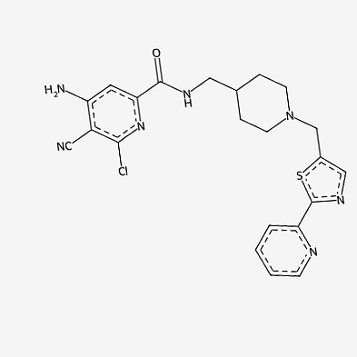 N#Cc1c(N)cc(C(=O)NCC2CCN(Cc3cnc(-c4ccccn4)s3)CC2)nc1Cl